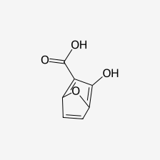 O=C(O)c1c(O)c2ccc1o2